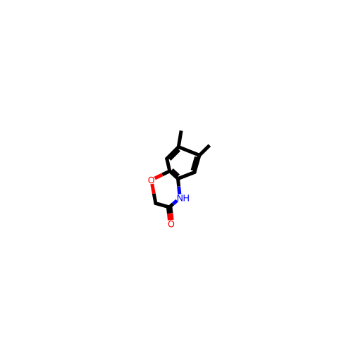 Cc1cc2c(cc1C)OCC(=O)N2